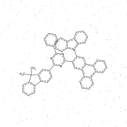 CC1(C)c2ccccc2-c2ccc(-c3nc(-c4ccccc4)nc(-c4cc5c6ccccc6c6ccccc6c5cc4-n4c5ccccc5c5ccccc54)n3)cc21